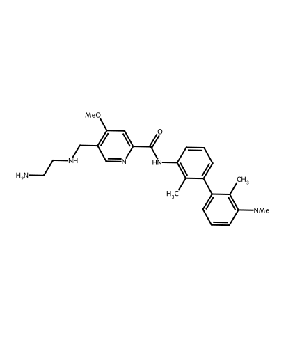 CNc1cccc(-c2cccc(NC(=O)c3cc(OC)c(CNCCN)cn3)c2C)c1C